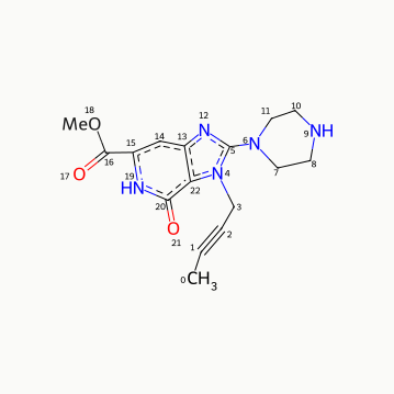 CC#CCn1c(N2CCNCC2)nc2cc(C(=O)OC)[nH]c(=O)c21